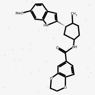 COc1ccc2cc([C@H]3CC(NC(=O)c4ccc5c(c4)OCCO5)CCC3C)[nH]c2c1